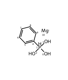 O[PH](O)(O)c1ccccc1.[Mg]